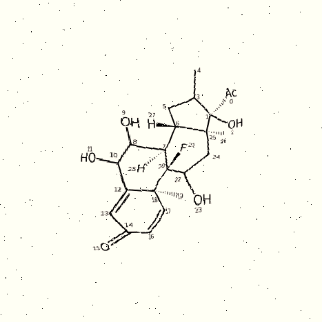 CC(=O)[C@@]1(O)C(C)C[C@H]2[C@@H]3C(O)C(O)C4=CC(=O)C=C[C@]4(C)[C@@]3(F)C(O)C[C@@]21C